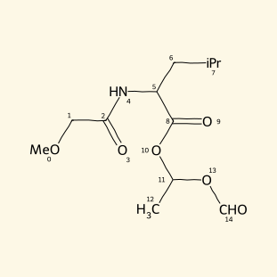 COCC(=O)NC(CC(C)C)C(=O)OC(C)OC=O